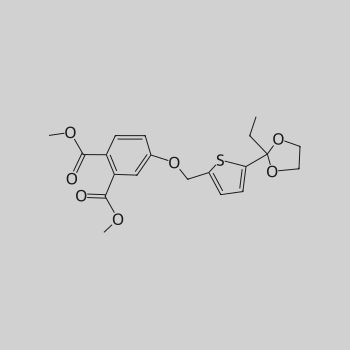 CCC1(c2ccc(COc3ccc(C(=O)OC)c(C(=O)OC)c3)s2)OCCO1